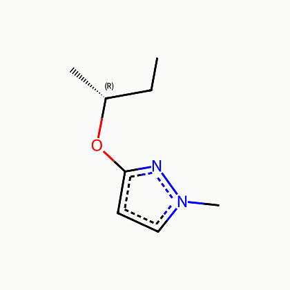 CC[C@@H](C)Oc1ccn(C)n1